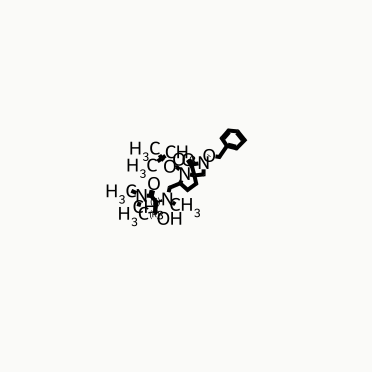 C[C@@H](O)[C@@H](C(=O)N(C)C)N(C)CC1CCC2(CN(OCc3ccccc3)C2=O)N1C(=O)OC(C)(C)C